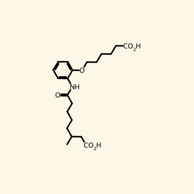 CC(CCCCC(=O)Nc1ccccc1OCCCCCC(=O)O)CC(=O)O